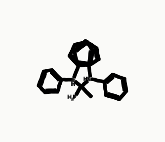 CC(P)([SiH](c1ccccc1)c1ccccc1)[SiH](c1ccccc1)c1ccccc1